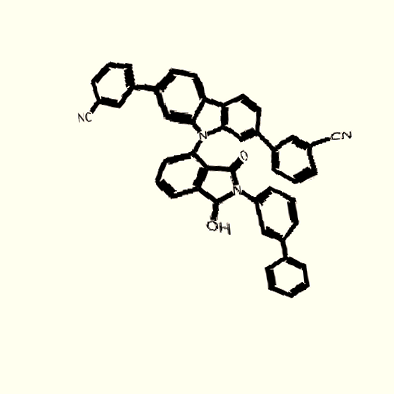 N#Cc1cccc(-c2ccc3c4ccc(-c5cccc(C#N)c5)cc4n(-c4cccc5c4C(=O)N(c4cccc(-c6ccccc6)c4)C5O)c3c2)c1